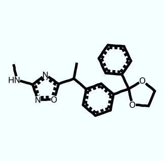 CNc1noc(C(C)c2cccc(C3(c4ccccc4)OCCO3)c2)n1